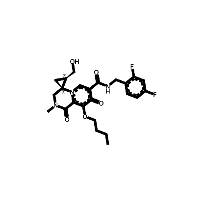 CCCCOc1c2n(cc(C(=O)NCc3ccc(F)cc3F)c1=O)[C@]1(C[C@H]1CO)CN(C)C2=O